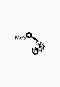 CSc1cccc(C#CCSc2nsnc2[C@@H]2CN3CCC[C@H]2C3)c1